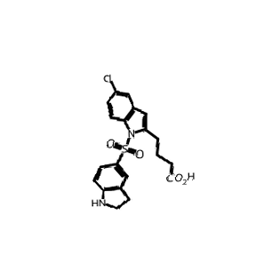 O=C(O)CCCc1cc2cc(Cl)ccc2n1S(=O)(=O)c1ccc2c(c1)CCN2